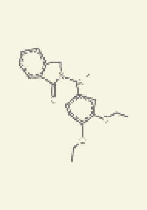 CCOc1ccc([C@@H](C)N2Cc3ccccc3C2=O)cc1OCC